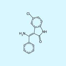 NC(=C1C(=O)Nc2ccc(Cl)cc21)c1ccccc1